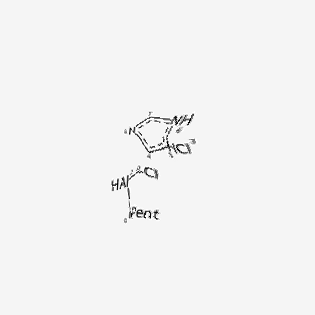 CCC[CH](C)[AlH][Cl].Cl.c1c[nH]cn1